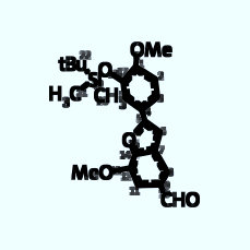 COc1ccc(-c2cc3cc(C=O)cc(OC)c3o2)cc1O[Si](C)(C)C(C)(C)C